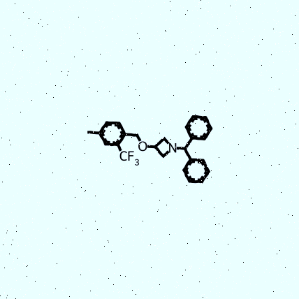 Cc1ccc(COC2CN(C(c3ccccc3)c3ccccc3)C2)c(C(F)(F)F)c1